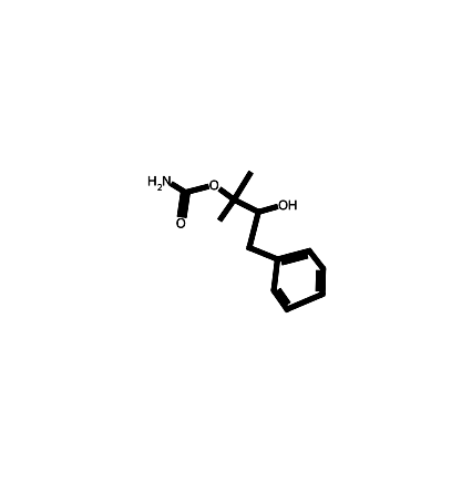 CC(C)(OC(N)=O)C(O)Cc1ccccc1